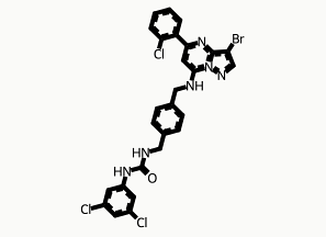 O=C(NCc1ccc(CNc2cc(-c3ccccc3Cl)nc3c(Br)cnn23)cc1)Nc1cc(Cl)cc(Cl)c1